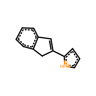 [CH]1C(c2ccc[pH]2)=Cc2ccccc21